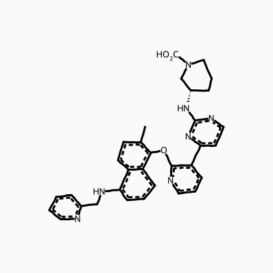 Cc1ccc2c(NCc3ccccn3)cccc2c1Oc1ncccc1-c1ccnc(N[C@H]2CCCN(C(=O)O)C2)n1